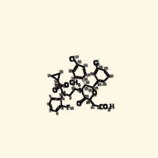 C[C@@H](CN(c1ccccc1F)S(=O)(=O)C1CC1)N1C(=O)[C@H](CC(=O)O)O[C@H](c2cccc(Cl)c2)[C@H]1c1ccc(Cl)cc1